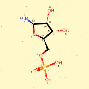 N[C@@H]1O[C@H](COP(=O)(O)O)[C@@H](O)[C@H]1O